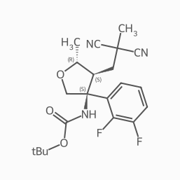 C[C@H]1OC[C@@](NC(=O)OC(C)(C)C)(c2cccc(F)c2F)[C@@H]1CC(C)(C#N)C#N